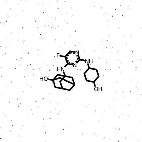 OC1CCC(Nc2ncc(F)c(NC34CC5CC(CC(O)(C5)C3)C4)n2)CC1